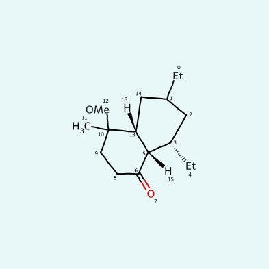 CCC1C[C@H](CC)[C@@H]2C(=O)CCC(C)(OC)[C@@H]2C1